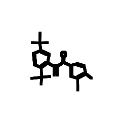 Cc1ccc(C(=O)Nc2cc(C(C)(C)C)ccc2C(C)(C)C)cc1I